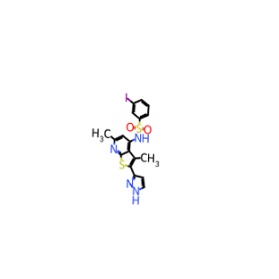 Cc1cc(NS(=O)(=O)c2cccc(I)c2)c2c(C)c(-c3cc[nH]n3)sc2n1